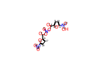 O=C(O[N+](=O)OC(=O)c1ccc([N+](=O)O)o1)c1ccc([N+](=O)[O-])o1